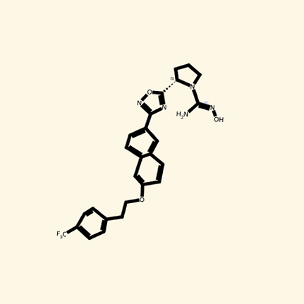 N/C(=N\O)N1CCC[C@H]1c1nc(-c2ccc3cc(OCCc4ccc(C(F)(F)F)cc4)ccc3c2)no1